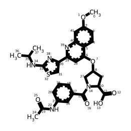 COc1ccc2c(OC3CC(C(=O)O)N(C(=O)c4cccc(NC(C)=O)c4)C3)cc(-c3csc(NC(C)C)n3)nc2c1